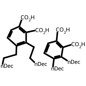 CCCCCCCCCCCCc1ccc(C(=O)O)c(C(=O)O)c1CCCCCCCCCCCC.CCCCCCCCCCc1ccc(C(=O)O)c(C(=O)O)c1CCCCCCCCCC